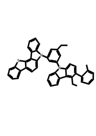 CCc1cc(-n2c3ccccc3c3c(CC)c(-c4ccccc4C)ccc32)cc(-n2c3ccccc3c3c4sc5ccccc5c4ccc32)c1